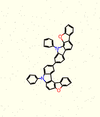 c1ccc(-n2c3ccc(-c4ccc5c6ccc7c8ccccc8oc7c6n(-c6ccccc6)c5c4)cc3c3c4c(ccc32)oc2ccccc24)cc1